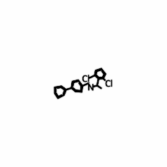 CC(N=Cc1ccc(-c2ccccc2)cc1)c1c(Cl)cccc1Cl